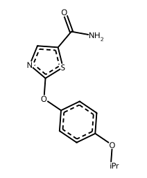 CC(C)Oc1ccc(Oc2ncc(C(N)=O)s2)cc1